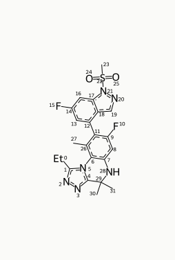 CCc1nnc2n1-c1c(cc(F)c(-c3cc(F)cc4c3cnn4S(C)(=O)=O)c1C)NC2(C)C